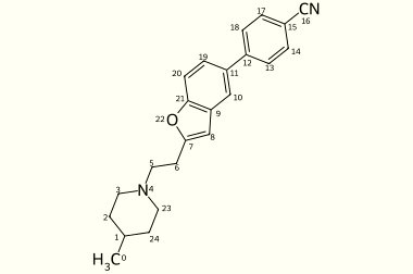 CC1CCN(CCc2cc3cc(-c4ccc(C#N)cc4)ccc3o2)CC1